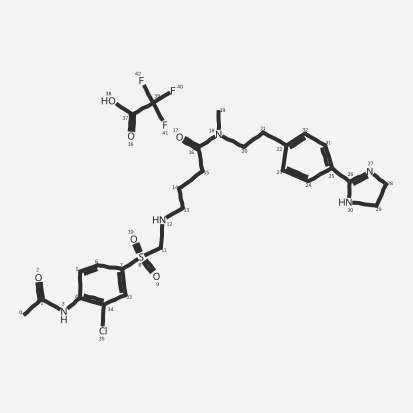 CC(=O)Nc1ccc(S(=O)(=O)CNCCCC(=O)N(C)CCc2ccc(C3=NCCN3)cc2)cc1Cl.O=C(O)C(F)(F)F